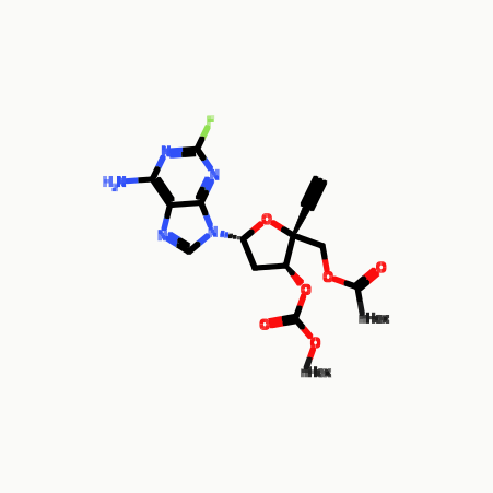 C#C[C@]1(COC(=O)CCCCCC)O[C@@H](n2cnc3c(N)nc(F)nc32)C[C@@H]1OC(=O)OCCCCCC